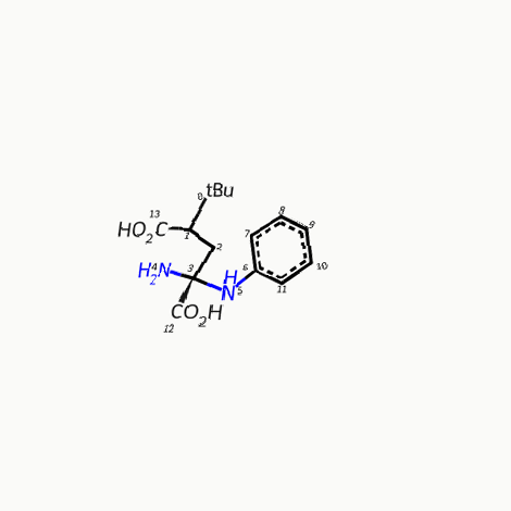 CC(C)(C)C(C[C@@](N)(Nc1ccccc1)C(=O)O)C(=O)O